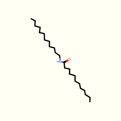 CCCCCCCCCCCCNC(=O)CCCCCCCCCCC